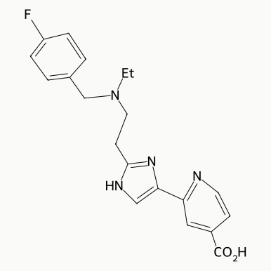 CCN(CCc1nc(-c2cc(C(=O)O)ccn2)c[nH]1)Cc1ccc(F)cc1